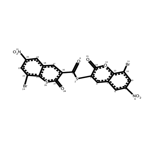 O=C(Sc1cc2cc([N+](=O)[O-])cc(Br)c2oc1=O)c1cc2cc([N+](=O)[O-])cc(Br)c2sc1=O